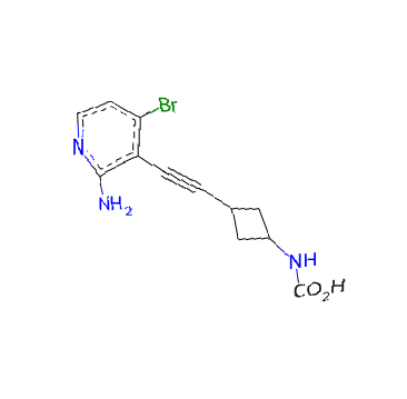 Nc1nccc(Br)c1C#CC1CC(NC(=O)O)C1